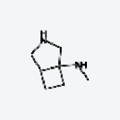 CNC12CCC1CNC2